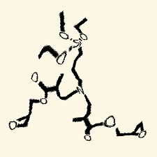 CCO[Si](CCCN(CC(C)C(=O)OCC1CO1)CC(C)C(=O)OCC1CO1)(OCC)OCC